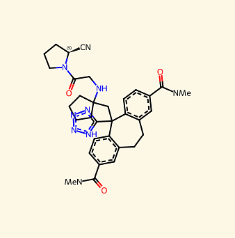 CNC(=O)c1ccc2c(c1)CCc1cc(C(=O)NC)ccc1C2(CC1(NCC(=O)N2CCC[C@H]2C#N)CCCC1)c1nnn[nH]1